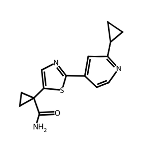 NC(=O)C1(c2cnc(-c3ccnc(C4CC4)c3)s2)CC1